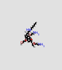 CCCCCCCCNCCC[C@@H](C)[C@H]1CC[C@H]2C3[C@H](OCCCOC)CC[C@](C)(CC[C@H](CC)OCCCN)[C@H]3C[C@H](OCCCN)[C@]12C